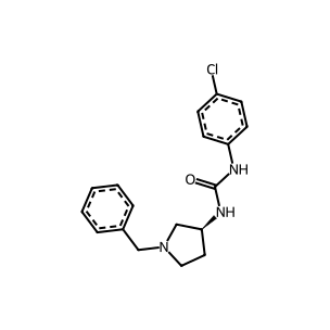 O=C(Nc1ccc(Cl)cc1)N[C@H]1CCN(Cc2ccccc2)C1